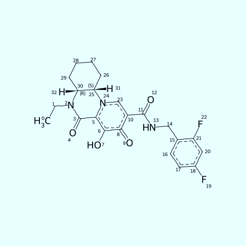 CCN1C(=O)c2c(O)c(=O)c(C(=O)NCc3ccc(F)cc3F)cn2[C@H]2CCCC[C@H]21